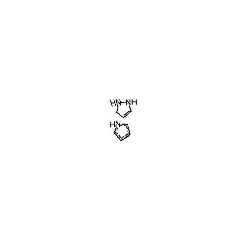 C1=CNNC1.c1cc[nH]c1